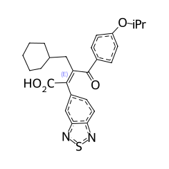 CC(C)Oc1ccc(C(=O)/C(CC2CCCCC2)=C(/C(=O)O)c2ccc3nsnc3c2)cc1